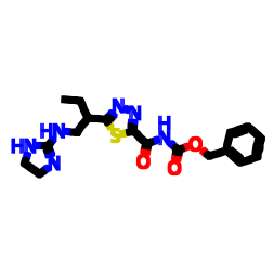 CCC(CNC1=NCCN1)c1nnc(C(=O)NC(=O)OCc2ccccc2)s1